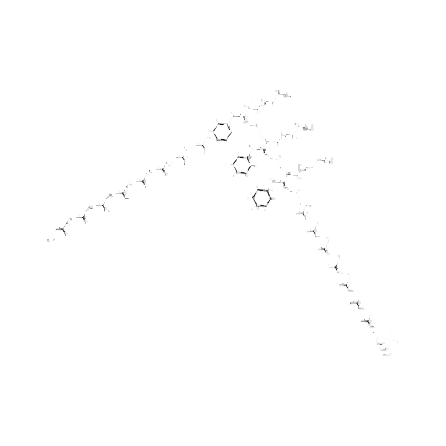 CC(=O)[O-].CC(=O)[O-].CC(=O)[O-].CC(=O)[O-].CC(=O)[O-].CC(=O)[O-].CC(=O)[O-].CC(=O)[O-].CC(=O)[O-].CC(=O)[O-].CC(=O)[O-].CC(=O)[O-].CC(=O)[O-].CC(=O)[O-].CC(=O)[O-].CCON(CCNCCN)Cc1ccccc1.CCON(CCNCCN)Cc1ccccc1.CCON(CCNCCN)Cc1ccccc1.[Gd+3].[Gd+3].[Gd+3].[Gd+3].[Gd+3]